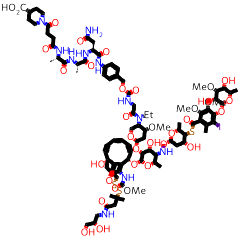 CCN(C(=O)CNC(=O)OCc1ccc(NC(=O)[C@H](CC(N)=O)NC(=O)[C@H](C)NC(=O)[C@H](C)NC(=O)CCC(=O)N2CCC(C(=O)O)CC2)cc1)C1COC(OC2C(O[C@H]3C#C/C=C\C#C[C@]4(O)CC(=O)C(NC(=O)OC)=C3/C4=C\CSSC(C)(C)CC(=O)NCC(O)CO)OC(C)C(NOC3CC(O)C(SC(=O)c4c(C)c(I)c(OC5OC(C)C(O)C(OC)C5O)c(OC)c4OC)C(C)O3)C2O)CC1OC